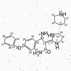 N=C(/C(C(N)=O)=C1/NCC[C@@H](C2CCNCC2)N1)c1ccc(Oc2ccccc2)cc1